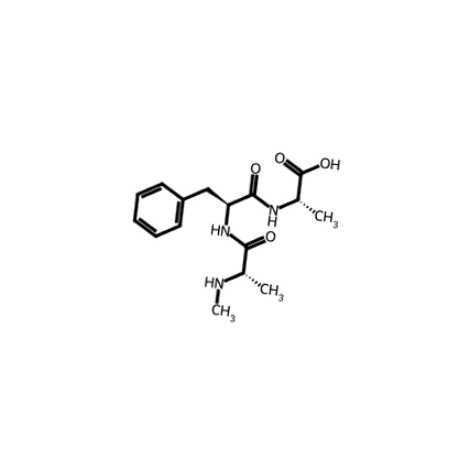 CN[C@@H](C)C(=O)N[C@@H](Cc1ccccc1)C(=O)N[C@@H](C)C(=O)O